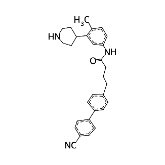 Cc1ccc(NC(=O)CCCc2ccc(-c3ccc(C#N)cc3)cc2)cc1C1CCNCC1